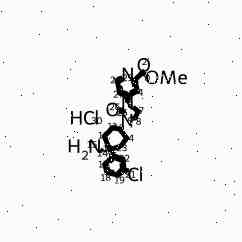 COC(=O)c1cc(N2CCN([C@H]3CC[C@](CN)(c4cccc(Cl)c4)CC3)C2=O)ccn1.Cl